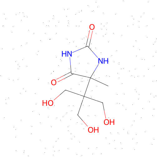 CC1(C(CO)(CO)CO)NC(=O)NC1=O